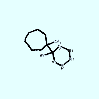 CC(C)C1(C2(C)CCCCCC2)BBBBB1